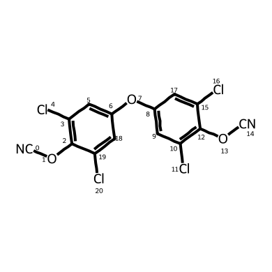 N#COc1c(Cl)cc(Oc2cc(Cl)c(OC#N)c(Cl)c2)cc1Cl